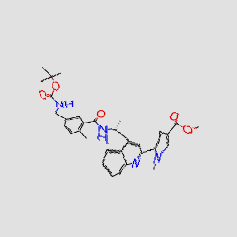 COC(=O)c1cc(-c2cc([C@@H](C)NC(=O)c3cc(CNC(=O)OC(C)(C)C)ccc3C)c3ccccc3n2)n(C)c1